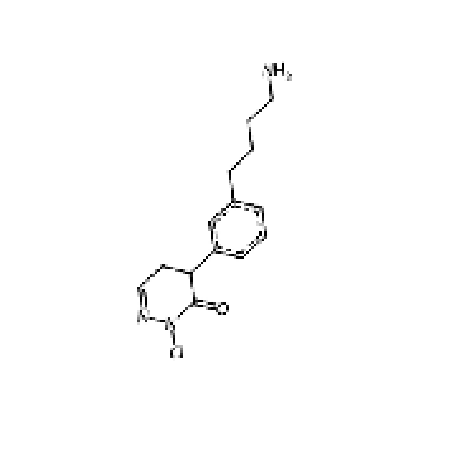 NCCCCc1cccc(C2CC=NN(Cl)C2=O)c1